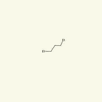 [CH2]CCCCC[CH2]